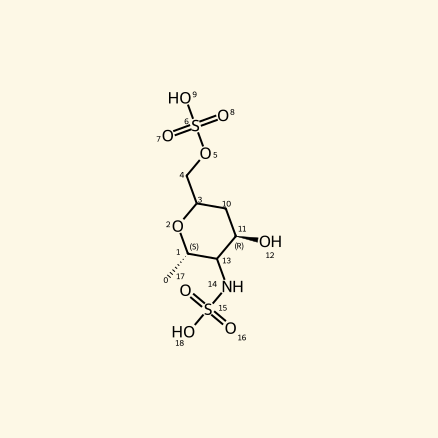 C[C@@H]1OC(COS(=O)(=O)O)C[C@@H](O)C1NS(=O)(=O)O